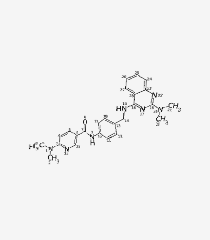 CN(C)c1ccc(C(=O)Nc2ccc(CNc3nc(N(C)C)nc4ccccc34)cc2)cn1